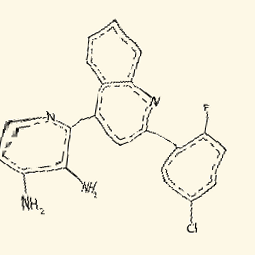 Nc1ccnc(-c2cc(-c3cc(Cl)ccc3F)nc3ccccc23)c1N